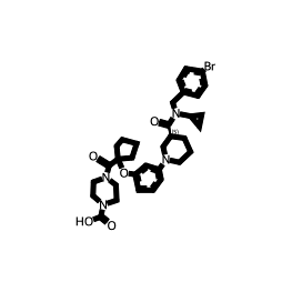 O=C(O)N1CCN(C(=O)C2(Oc3cccc(N4CCC[C@H](C(=O)N(Cc5ccc(Br)cc5)C5CC5)C4)c3)CCCC2)CC1